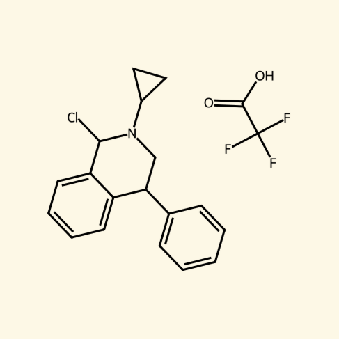 ClC1c2ccccc2C(c2ccccc2)CN1C1CC1.O=C(O)C(F)(F)F